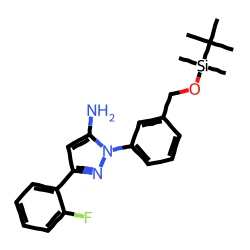 CC(C)(C)[Si](C)(C)OCc1cccc(-n2nc(-c3ccccc3F)cc2N)c1